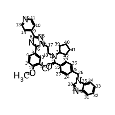 COc1ccc(-c2nc(-c3ccncc3)nn2CCN(C(=O)c2ccc(Cn3cnc4ccccc43)cc2)C2CCCC2)cc1Cl